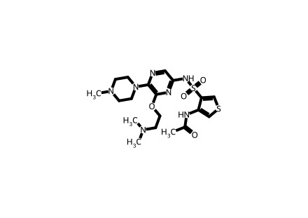 CC(=O)Nc1cscc1S(=O)(=O)Nc1cnc(N2CCN(C)CC2)c(OCCN(C)C)n1